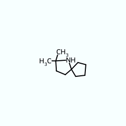 CC1(C)CCC2(CCCC2)N1